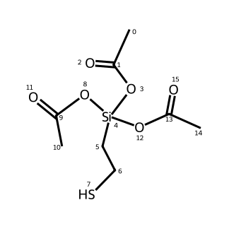 CC(=O)O[Si](CCS)(OC(C)=O)OC(C)=O